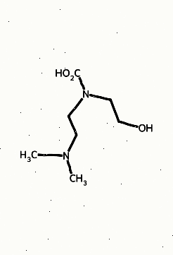 CN(C)CCN(CCO)C(=O)O